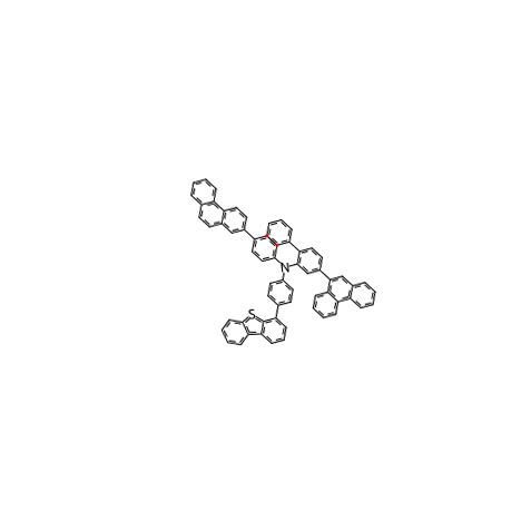 c1ccc(-c2ccc(-c3cc4ccccc4c4ccccc34)cc2N(c2ccc(-c3ccc4c(ccc5ccccc54)c3)cc2)c2ccc(-c3cccc4c3sc3ccccc34)cc2)cc1